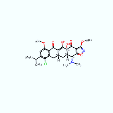 CCCCOc1cc(C(OC)OC)c(Cl)c2c1C(=O)C1=C(O)[C@]3(O)C(=O)c4c(OCCCC)noc4[C@@H](N(C)C)[C@@H]3C[C@@H]1C2